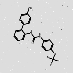 Cc1ccc(-c2ccccc2NC(=O)Nc2ccc(OC(F)(F)F)cc2)cc1